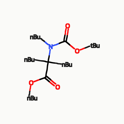 CCCCOC(=O)C(CCCC)(CCCC)N(CCCC)C(=O)OC(C)(C)C